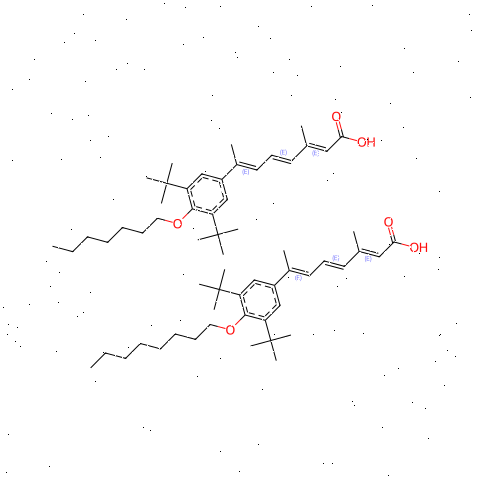 CCCCCCCCOc1c(C(C)(C)C)cc(/C(C)=C/C=C/C(C)=C/C(=O)O)cc1C(C)(C)C.CCCCCCCOc1c(C(C)(C)C)cc(/C(C)=C/C=C/C(C)=C/C(=O)O)cc1C(C)(C)C